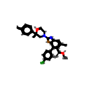 Cc1ccc(C2(C)CN(c3nc4cc(C)c([C@H](OC(C)(C)C)C(=O)O)c(-c5ccc(Cl)cc5)c4s3)CCO2)cc1